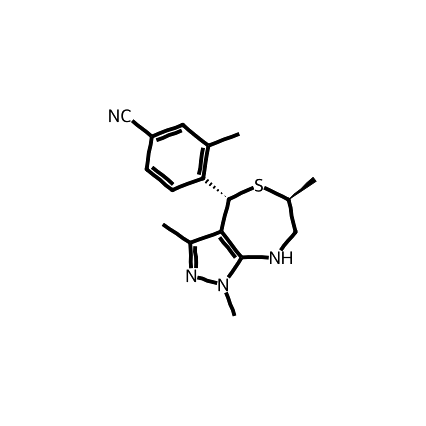 Cc1cc(C#N)ccc1[C@@H]1S[C@@H](C)CNc2c1c(C)nn2C